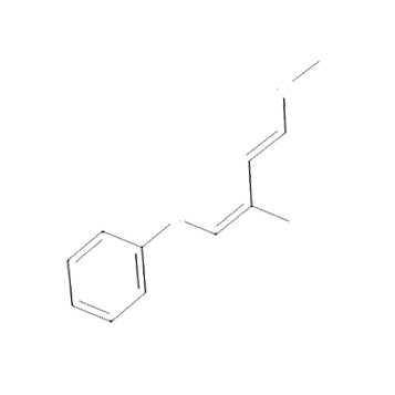 COC=CC(C)=CSc1ccccc1